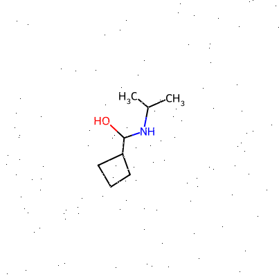 CC(C)NC(O)C1CCC1